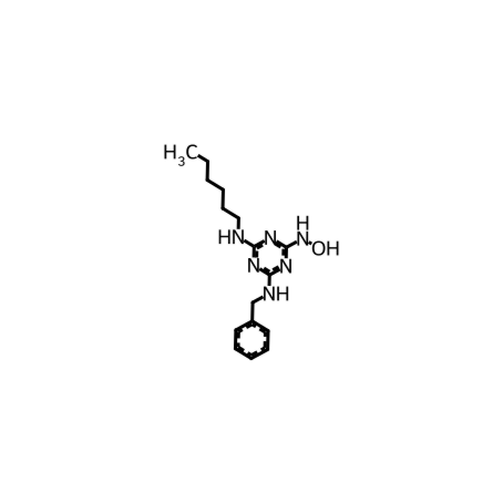 CCCCCCNc1nc(NO)nc(NCc2ccccc2)n1